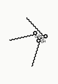 CCCCCCCCCCCCCCCCc1ccccc1OC(=O)c1ccc(CCCCCCCCCCCCCCCC)c(O)c1C(=O)Oc1ccccc1CCCCCCCCCCCCCCCC